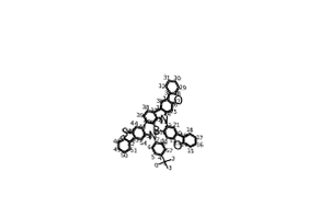 CC(C)(C)c1ccc(N2B3c4cc5oc6ccccc6c5cc4-n4c5cc6oc7ccccc7c6cc5c5ccc(c3c54)-c3cc4sc5ccccc5c4cc32)cc1